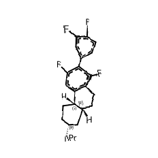 CCC[C@@H]1CC[C@@H]2c3cc(F)c(-c4ccc(F)c(F)c4)c(F)c3CC[C@@H]2C1